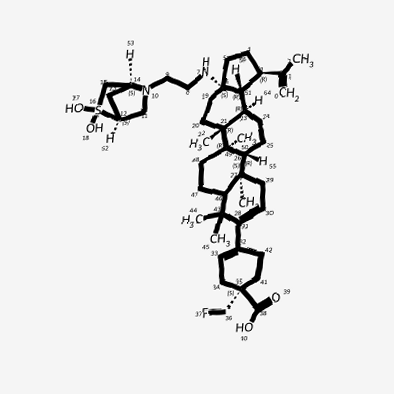 C=C(C)[C@@H]1CC[C@]2(NCCN3C[C@@H]4C[C@H]3CS4(O)O)CC[C@]3(C)[C@H](CC[C@@H]4[C@@]5(C)CC=C(C6=CC[C@](CF)(C(=O)O)CC6)C(C)(C)C5CC[C@]43C)[C@@H]12